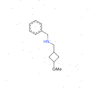 COC1CC(CNCc2ccccc2)C1